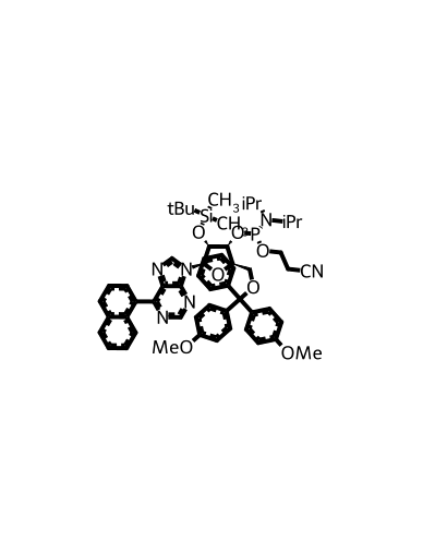 COc1ccc(C(OC[C@H]2O[C@@H](n3cnc4c(-c5cccc6ccccc56)ncnc43)[C@H](O[Si](C)(C)C(C)(C)C)[C@@H]2OP(OCCC#N)N(C(C)C)C(C)C)(c2ccccc2)c2ccc(OC)cc2)cc1